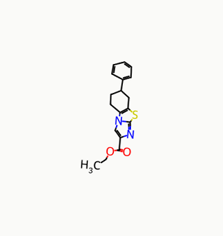 CCOC(=O)c1cn2c3c(sc2n1)CC(c1ccccc1)CC3